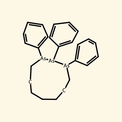 c1ccc([As]2CCCCCCC[As](c3ccccc3)[As]2c2ccccc2)cc1